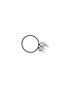 CCC1(C)CCCCCCCCCCCCCCCC1(C)N